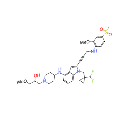 COCC(O)CN1CCC(Nc2cccc3c2cc(C#CCNc2ccc(S(C)(=O)=O)cc2OC)n3CC2(C(F)F)CC2)CC1